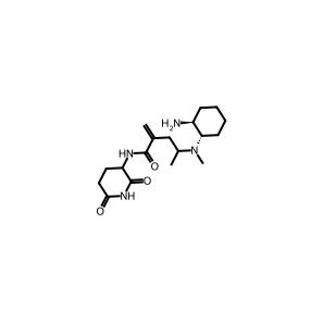 C=C(CC(C)N(C)[C@H]1CCCC[C@@H]1N)C(=O)NC1CCC(=O)NC1=O